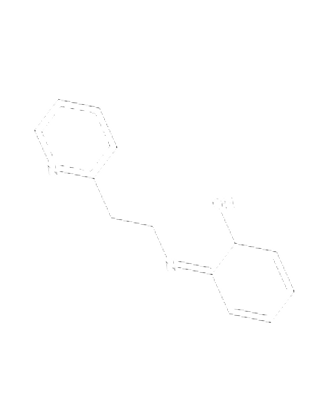 OC1C=CC=CC1=NCCc1ccccn1